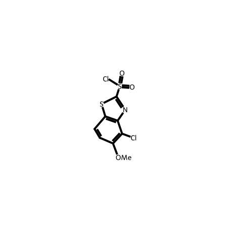 COc1ccc2sc(S(=O)(=O)Cl)nc2c1Cl